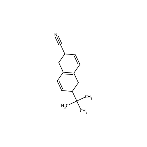 CC(C)(C)C1C=CC2=C(C=CC(C#N)C2)C1